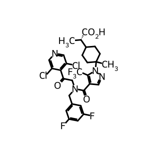 C[C@H](C(=O)O)C1CCC(C)(n2ncc(C(=O)N(CC(=O)c3c(Cl)cncc3Cl)Cc3cc(F)cc(F)c3)c2C(F)(F)F)CC1